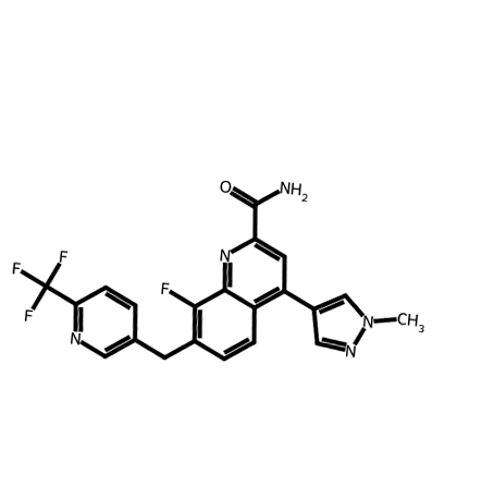 Cn1cc(-c2cc(C(N)=O)nc3c(F)c(Cc4ccc(C(F)(F)F)nc4)ccc23)cn1